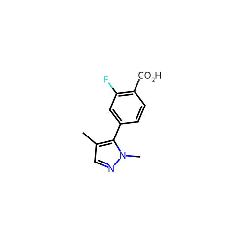 Cc1cnn(C)c1-c1ccc(C(=O)O)c(F)c1